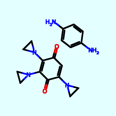 Nc1ccc(N)cc1.O=C1C=C(N2CC2)C(=O)C(N2CC2)=C1N1CC1